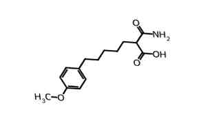 COc1ccc(CCCCCC(C(N)=O)C(=O)O)cc1